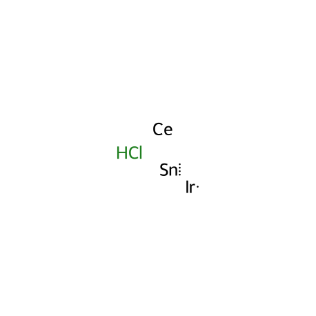 Cl.[Ce].[Ir].[Sn]